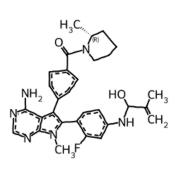 C=C(C)C(O)Nc1ccc(-c2c(-c3ccc(C(=O)N4CCCC[C@H]4C)cc3)c3c(N)ncnc3n2C)c(F)c1